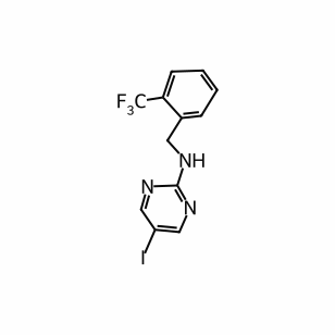 FC(F)(F)c1ccccc1CNc1ncc(I)cn1